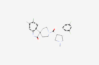 Cc1cc2c(cc1Cl)C1(CCN(C(=O)[C@@H]3CN(C(C)(C)C)C[C@H]3c3ccc(F)cc3F)CC1)C(=O)N2